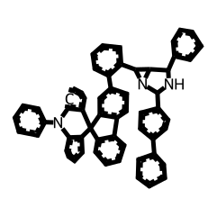 c1ccc(-c2ccc(C3NC(c4ccccc4)C4C(c5ccccc5-c5ccc6c(c5)C5(c7ccccc7-6)c6ccccc6N(c6ccccc6)c6ccccc65)N34)cc2)cc1